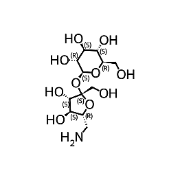 NC[C@H]1O[C@@](CO)(O[C@@H]2O[C@H](CO)[C@@H](O)[C@H](O)[C@H]2O)[C@@H](O)[C@@H]1O